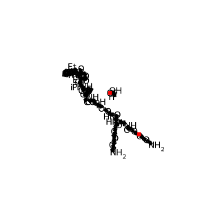 CCc1c2c(nc3ccccc13)-c1cc3c(c(=O)n1C2)COC(=O)[C@@]3(CC)OC(=O)[C@@H](NC(=O)[C@@H]1CCCN1C(=O)[C@H](CC(=O)O)NC(=O)CCOCCOCCOCCNC(=O)[C@H](CCCCNC(=O)CCOCCOCCOCCN)NC(=O)CCOCCOCCOCCN)C(C)C.O=C(O)C(F)(F)F